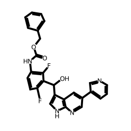 O=C(Nc1ccc(F)c(C(O)c2c[nH]c3ncc(-c4cccnc4)cc23)c1F)OCc1ccccc1